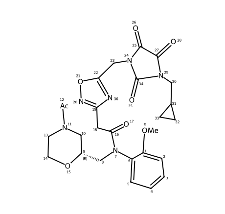 COc1ccccc1N(C[C@H]1CN(C(C)=O)CCO1)C(=O)Cc1noc(CN2C(=O)C(=O)N(CC3CC3)C2=O)n1